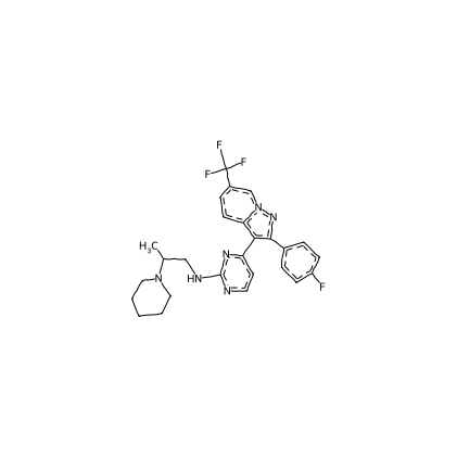 CC(CNc1nccc(-c2c(-c3ccc(F)cc3)nn3cc(C(F)(F)F)ccc23)n1)N1CCCCC1